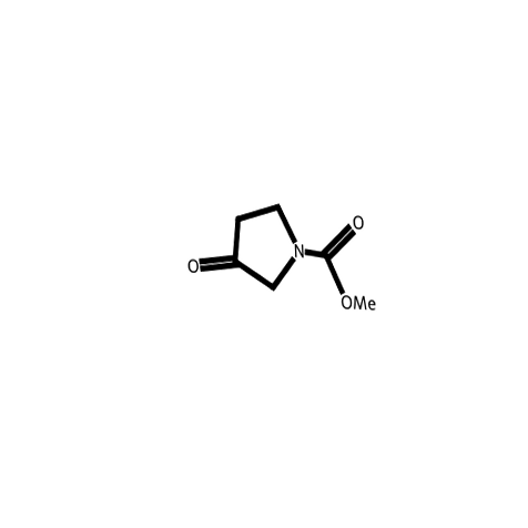 COC(=O)N1CCC(=O)C1